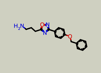 NCCCc1nc(-c2ccc(OCc3ccccc3)cc2)no1